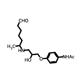 CC(=O)Nc1ccc(OCC(O)CNC(C)CCCCC=O)cc1